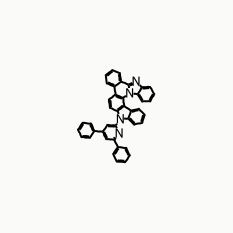 c1ccc(-c2cc(-c3ccccc3)nc(-n3c4ccccc4c4c3ccc3c5ccccc5c5nc6ccccc6n5c34)c2)cc1